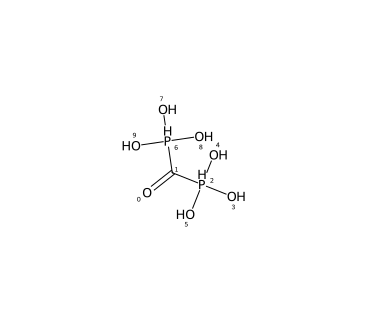 O=C([PH](O)(O)O)[PH](O)(O)O